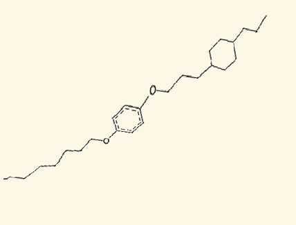 CCCCCCCCOc1ccc(OCCCC2CCC(CCC)CC2)cc1